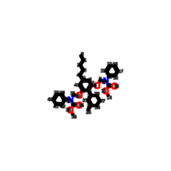 CCCCCc1cc(OCN(C(=O)OC)c2ccccc2)c(C2C=C(C)CCC2)c(OCN(C(=O)OC)c2ccccc2)c1